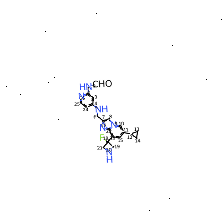 O=CNc1cc(NCc2cn3cc(C4CC4)cc(C4(F)CNC4)c3n2)ccn1